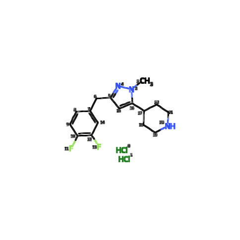 Cl.Cl.Cn1nc(Cc2ccc(F)c(F)c2)cc1C1CCNCC1